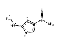 CNc1ncc(C(N)=O)s1